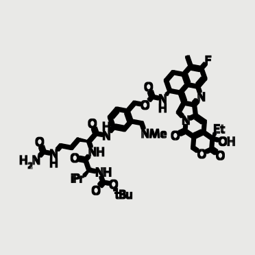 CC[C@@]1(O)C(=O)OCc2c1cc1n(c2=O)Cc2c-1nc1cc(F)c(C)c3c1c2[C@@H](NC(=O)OCc1ccc(NC(=O)[C@H](CCCNC(N)=O)NC(=O)[C@@H](NC(=O)OC(C)(C)C)C(C)C)cc1CNC)CC3